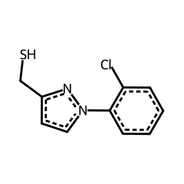 SCc1ccn(-c2ccccc2Cl)n1